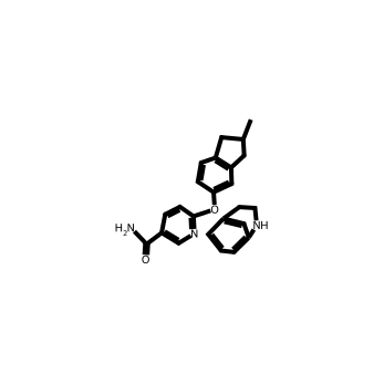 CC1Cc2ccc(Oc3ccc(C(N)=O)cn3)cc2C1.c1cc2cc(c1)NCC2